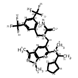 Cc1nn(C)c2nc(N(C)C(C)C3CCCC3)c(CN(Cc3cc(C(F)(F)F)cc(C(F)(F)F)c3)C(N)=O)cc12